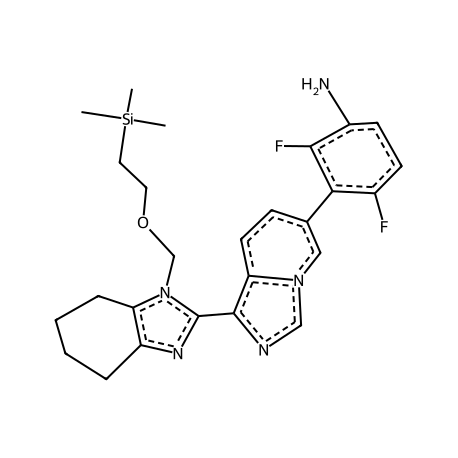 C[Si](C)(C)CCOCn1c(-c2ncn3cc(-c4c(F)ccc(N)c4F)ccc23)nc2c1CCCC2